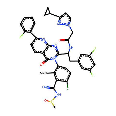 CNc1c(-n2c(C(Cc3cc(F)cc(F)c3)NC(=O)Cn3ccc(C4CC4)n3)nc3nc(-c4ccccc4F)ccc3c2=O)ccc(Cl)c1C(=N)N[S+](C)[O-]